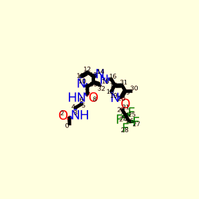 CC(=O)NCCNC(=O)c1nccc2nn(Cc3cnc(OCC(F)(F)C(F)F)c(C)c3)cc12